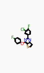 Fc1ccc(Oc2nc(-c3ccc(F)c(Cl)c3)nc3ccsc23)cc1